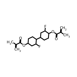 C=C(C)C(=O)OC1CCC(C2CCC(OC(=O)C(=C)C)C(F)C2)C(F)C1